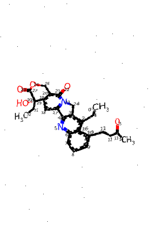 CCc1c2c(nc3cccc(CCC(C)=O)c13)-c1cc3c(c(=O)n1C2)COC(=O)[C@]3(O)CC